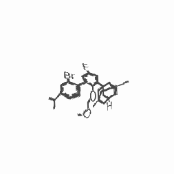 COCOc1c(-c2ccc(C(C)C)cc2Br)cc(F)cc1C12C[C@@H]3C[C@@](C)(C1)C[C@](C)(C3)C2